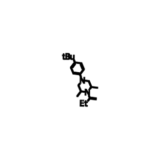 C=C(CC)N1C(C)CN(c2ccc(C(C)(C)C)cc2)CC1C